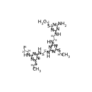 CCSc1nc(N)nc(NCCNc2nc(NCCNc3nc(NCCI)nc(SCC)n3)nc(SCC)n2)n1